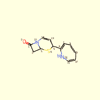 O=C1CC2SC(C3=CC=CC=CN3)C=CN12